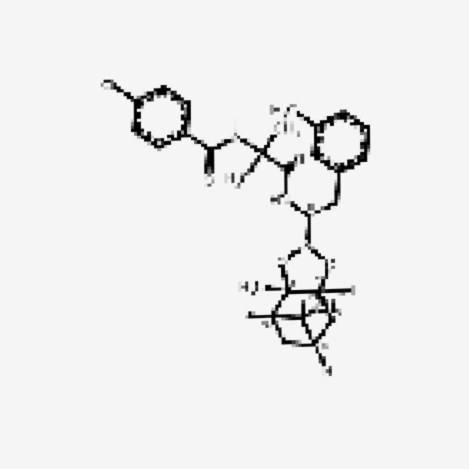 Cc1cccc(C[C@H](NC(=O)C(C)(C)NC(=O)c2ccc(Cl)cc2)B2O[C@@H]3C[C@@H]4C[C@@H](C4(C)C)[C@]3(C)O2)c1